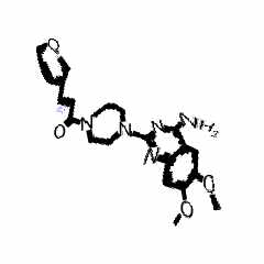 COc1cc2nc(N3CCN(C(=O)/C=C/c4ccoc4)CC3)nc(N)c2cc1OC